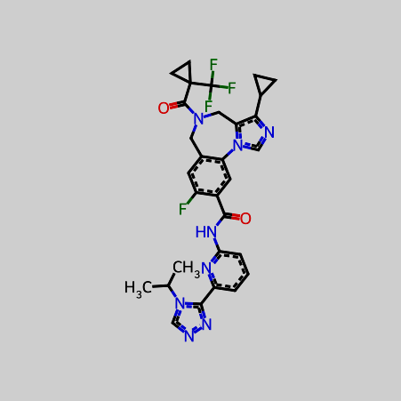 CC(C)n1cnnc1-c1cccc(NC(=O)c2cc3c(cc2F)CN(C(=O)C2(C(F)(F)F)CC2)Cc2c(C4CC4)ncn2-3)n1